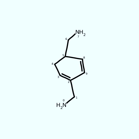 NCC1=CCC(CN)C=C1